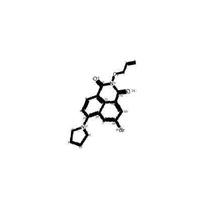 C=CCON1C(=O)c2ccc(N3CCCC3)c3cc(Br)cc(c23)C1=O